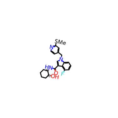 CSc1cc(Cn2cc(C(=O)N[C@H]3CCCC[C@@H]3O)c3c(F)cccc32)ccn1